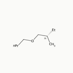 CCCCOC[C@@H](C)CC